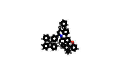 C=C/C(=N\C(=C/C(=C)c1ccccc1-c1ccccc1)c1ccc([Si](c2ccccc2)(c2ccccc2)c2ccccc2)cc1)c1ccc2c(c1)C1(c3ccccc3O2)c2ccccc2-c2ccccc21